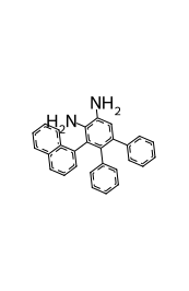 Nc1cc(-c2ccccc2)c(-c2ccccc2)c(-c2cccc3ccccc23)c1N